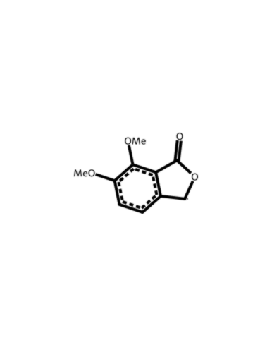 COc1ccc2c(c1OC)C(=O)O[CH]2